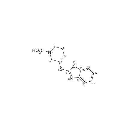 O=C(O)N1CCCC(Sc2nc3ccccc3s2)C1